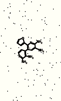 Nc1cc(-c2ccnc(N)c2N)c(-c2ccco2)nc1N